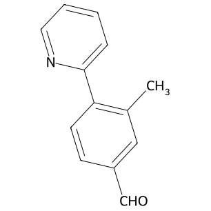 Cc1cc(C=O)ccc1-c1ccccn1